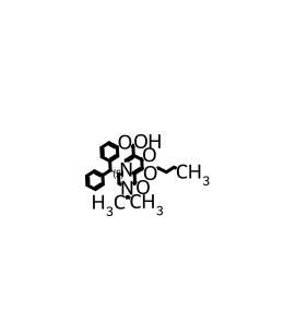 CCCCOc1c2n(cc(C(=O)O)c1=O)[C@@H](C(c1ccccc1)c1ccccc1)CN(C(C)C)C2=O